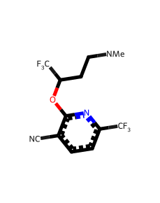 CNCCC(Oc1nc(C(F)(F)F)ccc1C#N)C(F)(F)F